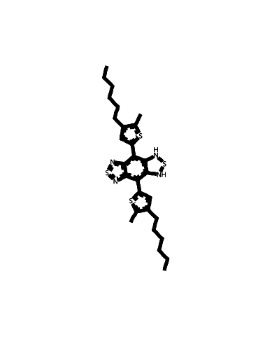 CCCCCCc1cc(-c2c3c(c(-c4cc(CCCCCC)c(C)s4)c4nsnc24)NSN3)sc1C